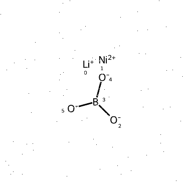 [Li+].[Ni+2].[O-]B([O-])[O-]